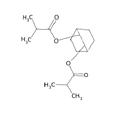 CC(C)C(=O)OC1C2CCC(CC2)C1OC(=O)C(C)C